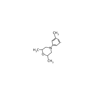 Cc1c[c]cc(N2CC(C)OC(C)C2)c1